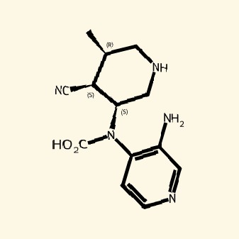 C[C@H]1CNC[C@@H](N(C(=O)O)c2ccncc2N)[C@H]1C#N